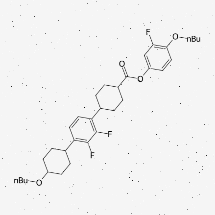 CCCCOc1ccc(OC(=O)C2CCC(c3ccc(C4CCC(OCCCC)CC4)c(F)c3F)CC2)cc1F